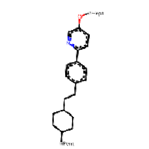 CCCCCCCOc1ccc(-c2ccc(CCC3CCC(CCCCC)CC3)cc2)nc1